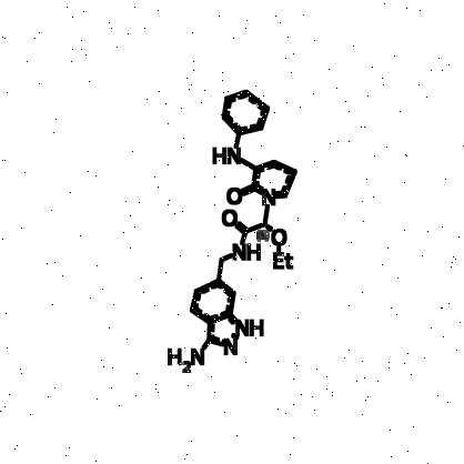 CCO[C@@H](C(=O)NCc1ccc2c(N)n[nH]c2c1)n1cccc(Nc2ccccc2)c1=O